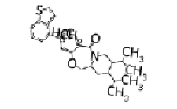 C=C(/C=C1/OCC2CC(C(C)C)C(C(C)C)CN2C(=O)/C1=C/C)c1cccc2sccc12